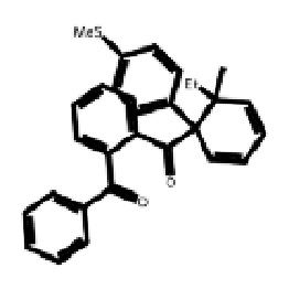 CCC1(C)C=CC=CC1(C(=O)c1ccccc1C(=O)c1ccccc1)c1ccc(SC)cc1